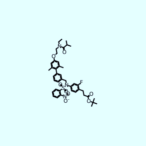 CCN(CCOc1cc(C)c(-c2cccc(CN(c3ccc(CCC(=O)OC(C)(C)C)c(F)c3)S(=O)(=O)c3ccccc3[N+](=O)[O-])c2)c(C)c1)C(=O)C(C)C